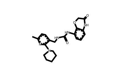 Cc1ccc(CNC(=O)Nc2cccc3c2OCC(=O)N3)c(N2CCCCC2)n1